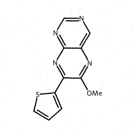 COc1nc2cncnc2nc1-c1cccs1